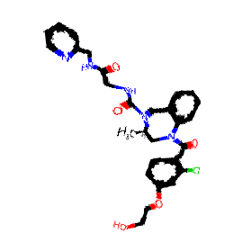 C[C@@H]1CN(C(=O)c2ccc(OCCO)cc2Cl)c2ccccc2CN1C(=O)NCC(=O)NCc1ccccn1